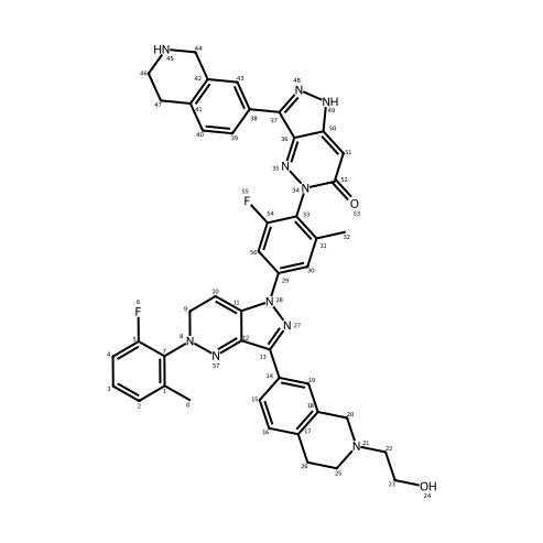 Cc1cccc(F)c1N1CC=c2c(c(-c3ccc4c(c3)CN(CCO)CC4)nn2-c2cc(C)c(-n3nc4c(-c5ccc6c(c5)CNCC6)n[nH]c4cc3=O)c(F)c2)=N1